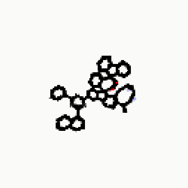 C=C1/C=C\C=C/Cc2c1ccc1c2C2(c3ccc(-c4nc(-c5ccccc5)nc(-c5cccc6ccccc56)n4)cc3-1)c1ccccc1C1(c3ccccc3-c3ccccc31)c1ccccc12